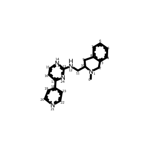 CN1Cc2ccccc2CC1CNc1nccc(-c2ccncc2)n1